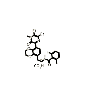 CCc1nc(-c2ccc(C[C@H](NC(=O)c3c(C)cccc3F)C(=O)O)c3c2OCCO3)c(=O)n(C)c1CC